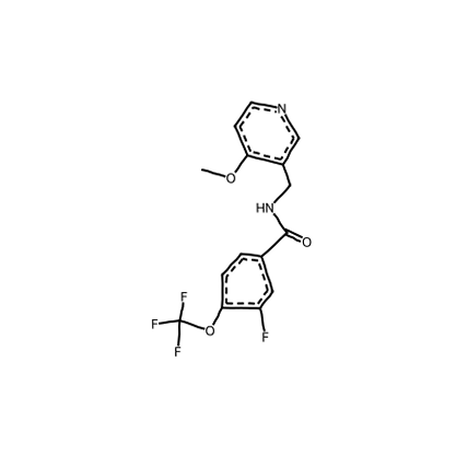 COc1ccncc1CNC(=O)c1ccc(OC(F)(F)F)c(F)c1